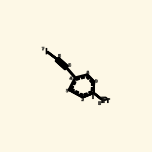 CC(C)c1ccc(C#CI)cc1